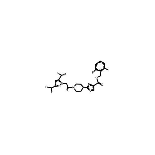 O=C(OCc1c(F)cccc1F)c1csc(C2CCN(C(=O)Cn3nc(C(F)F)cc3C(F)F)CC2)n1